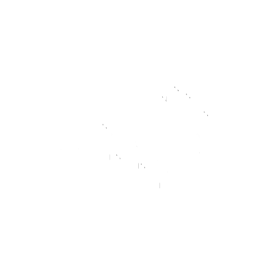 Cn1cc(-c2cc(Oc3ccc(NC(=O)Nc4cncc(C(F)(F)F)c4)c(F)c3)ccn2)nn1